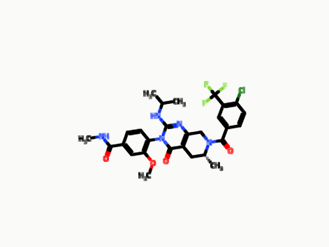 CNC(=O)c1ccc(-n2c(NC(C)C)nc3c(c2=O)C[C@@H](C)N(C(=O)c2ccc(Cl)c(C(F)(F)F)c2)C3)c(OC)c1